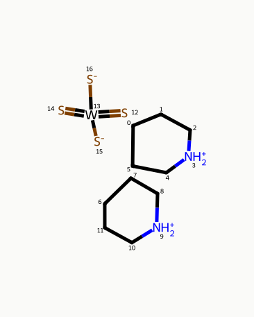 C1CC[NH2+]CC1.C1CC[NH2+]CC1.[S]=[W](=[S])([S-])[S-]